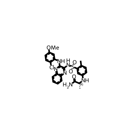 COc1ccc(Cl)c(Nc2nc3ccccc3nc2NS(=O)(=O)c2cc(N[C@H](C)C(N)=O)ccc2C)c1